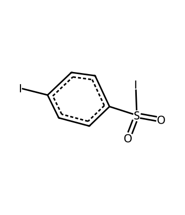 O=S(=O)(I)c1ccc(I)cc1